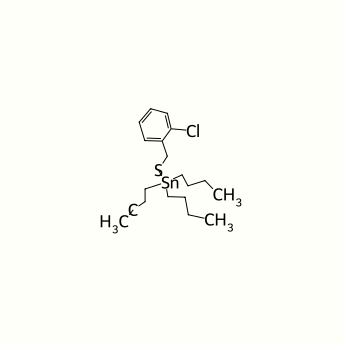 CCC[CH2][Sn]([CH2]CCC)([CH2]CCC)[S]Cc1ccccc1Cl